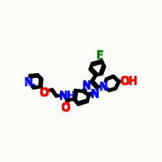 O=C(NCCOc1cccnc1)c1ccc2nc(N3CCC(O)CC3)c(-c3ccc(F)cc3)nc2c1